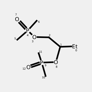 CCC(COP(C)(C)=O)OP(C)(C)=O